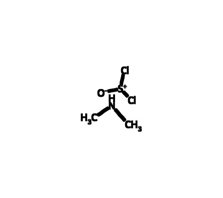 CNC.[O-][S+](Cl)Cl